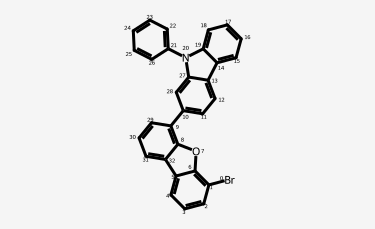 Brc1cccc2c1oc1c(-c3ccc4c5ccccc5n(-c5ccccc5)c4c3)cccc12